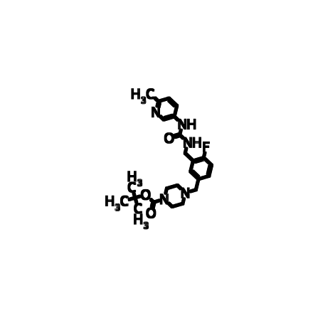 Cc1ccc(NC(=O)NCc2cc(CN3CCN(C(=O)OC(C)(C)C)CC3)ccc2F)cn1